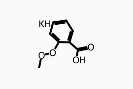 COOc1ccccc1C(=O)O.[KH]